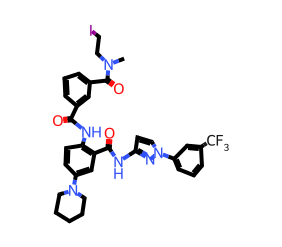 CN(CCI)C(=O)c1cccc(C(=O)Nc2ccc(N3CCCCC3)cc2C(=O)Nc2ccn(-c3cccc(C(F)(F)F)c3)n2)c1